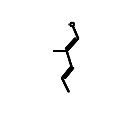 C/C=C/C(C)=C/[O]